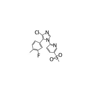 Cc1ccc(-c2c(Cl)ncn2-c2ccc(S(C)(=O)=O)cn2)cc1F